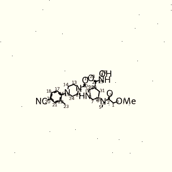 COCC(=O)N(C)[C@@H]1CN[C@H](C(=O)N2CCN(c3ccc(C#N)cc3C)CC2)[C@@H](C(=O)NO)C1